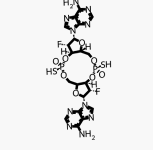 Nc1ncnc2c1ncn2[C@@H]1O[C@@H]2CO[P@@](=O)(S)O[C@@H]3C(CO[P@@](=O)(S)O[C@H]2[C@@H]1F)O[C@@H](n1cnc2c(N)ncnc21)[C@H]3F